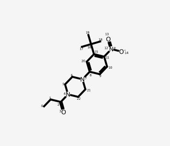 CCC(=O)N1CCN(c2ccc([N+](=O)[O-])c(C(C)(C)C)c2)CC1